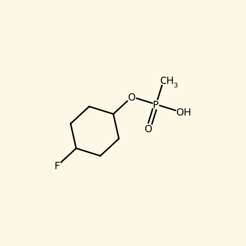 CP(=O)(O)OC1CCC(F)CC1